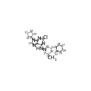 C[C@H]1CN(Nc2nc(Cl)nc3c2ncn3C2CCCC2)CC[C@@H]1Cc1ccccc1